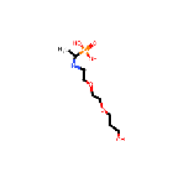 CC(NCCOCCOCCCO)P(=O)(O)O